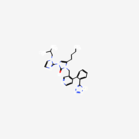 CCCCc1cn(-c2nccn2CC(C)C)c(=O)n1Cc1cnccc1-c1ccccc1-c1nnn[nH]1